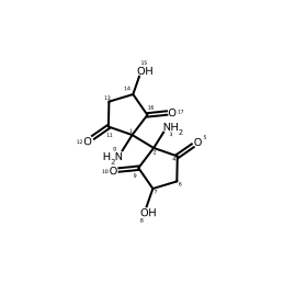 NC1(C2(N)C(=O)CC(O)C2=O)C(=O)CC(O)C1=O